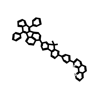 CC1(C)c2cc(-c3ccc(-c4ccc5ccc6cccnc6c5n4)cc3)ccc2-c2ccc(-c3ccc4c5c(cccc35)-c3c-4c(-c4ccccc4)c4ccccc4c3-c3ccccc3)cc21